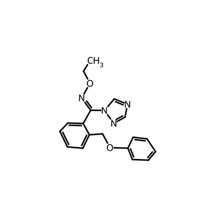 CCON=C(c1ccccc1COc1ccccc1)n1cncn1